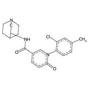 Cc1ccc(-n2cc(C(=O)NC3CN4CCC3CC4)ccc2=O)c(Cl)c1